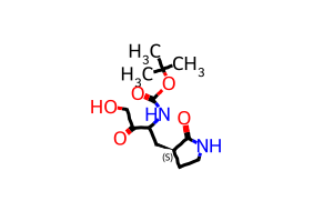 CC(C)(C)OC(=O)NC(C[C@@H]1CCNC1=O)C(=O)CO